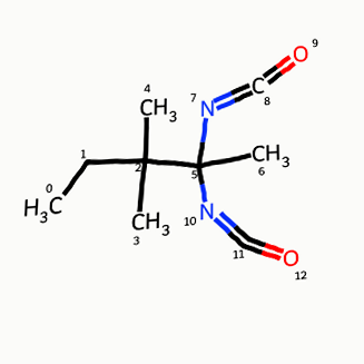 CCC(C)(C)C(C)(N=C=O)N=C=O